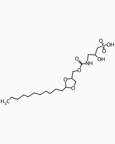 CCCCCCCCCCCC1OCC(COC(=O)NCC(O)CS(=O)(=O)O)O1